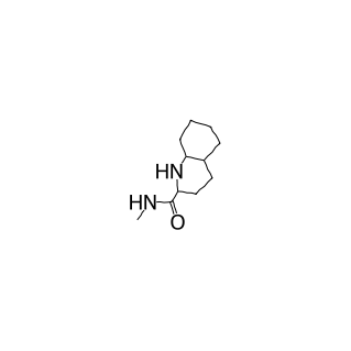 CNC(=O)C1CCC2CCCCC2N1